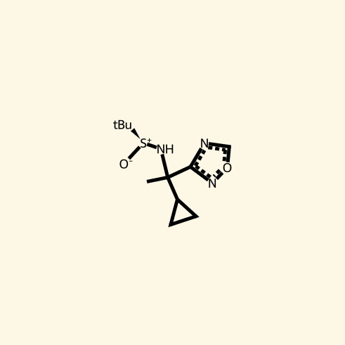 CC(N[S@@+]([O-])C(C)(C)C)(c1ncon1)C1CC1